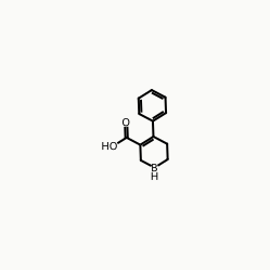 O=C(O)C1=C(c2ccccc2)CCBC1